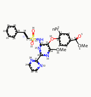 CCCc1cc(C(=O)OC)ccc1Oc1c(NS(=O)(=O)/C=C/c2ccccc2)nc(-c2ncccn2)nc1OC